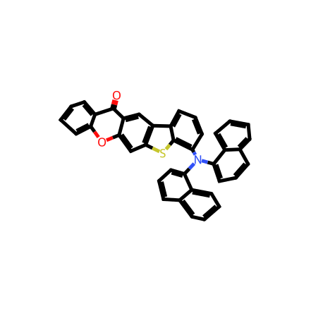 O=c1c2ccccc2oc2cc3sc4c(N(c5cccc6ccccc56)c5cccc6ccccc56)cccc4c3cc12